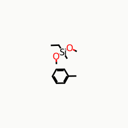 CC[Si](C)(OC)OC.Cc1ccccc1